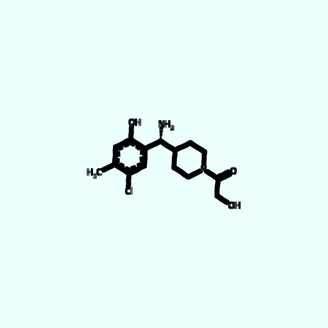 Cc1cc(O)c([C@H](N)C2CCN(C(=O)CO)CC2)cc1Cl